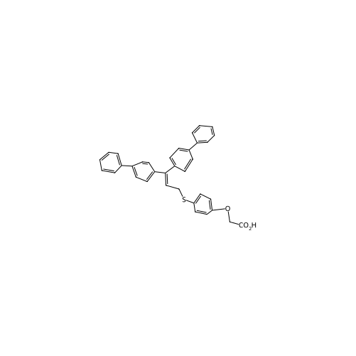 O=C(O)COc1ccc(SCC=C(c2ccc(-c3ccccc3)cc2)c2ccc(-c3ccccc3)cc2)cc1